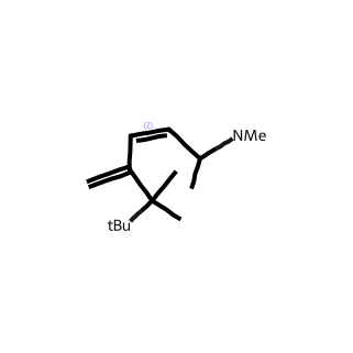 C=C(/C=C\C(C)NC)C(C)(C)C(C)(C)C